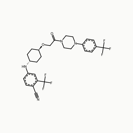 N#Cc1ccc(N[C@H]2CC[C@H](OCC(=O)N3CCN(c4ccc(C(F)(F)F)cc4)CC3)CC2)cc1C(F)(F)F